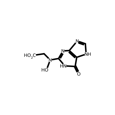 O=C(O)CN(O)c1nc2nc[nH]c2c(=O)[nH]1